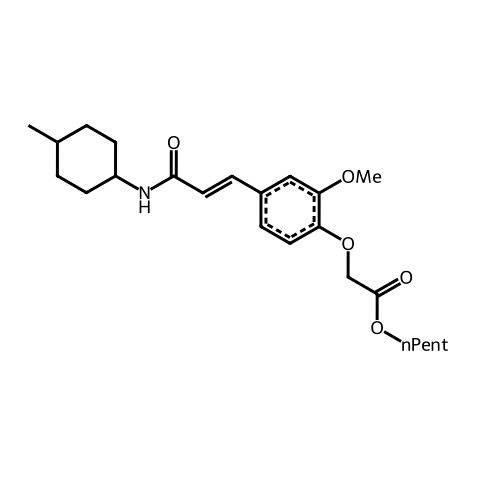 CCCCCOC(=O)COc1ccc(/C=C/C(=O)NC2CCC(C)CC2)cc1OC